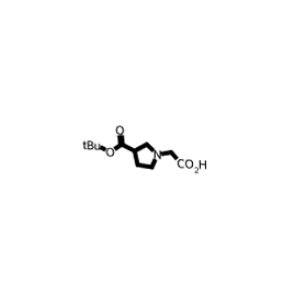 CC(C)(C)OC(=O)C1CCN(CC(=O)O)C1